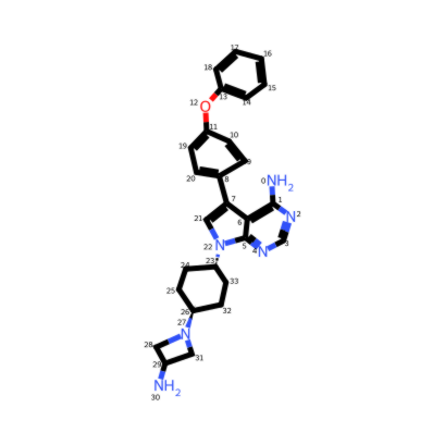 Nc1ncnc2c1c(-c1ccc(Oc3ccccc3)cc1)cn2[C@H]1CC[C@H](N2CC(N)C2)CC1